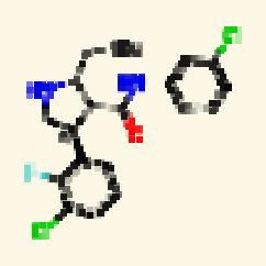 CC(C)(C)CC1NC[C@H](c2cccc(Cl)c2F)C1C(=O)Nc1cccc(Cl)c1